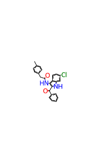 Cc1ccc(CC(=O)Nc2c(C(=O)c3ccccc3)[nH]c3cc(Cl)ccc23)cc1